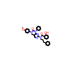 COc1ccc(N2Cc3cnc(N(CCCc4ccccc4)C(=O)c4ccccc4O)nc3N(c3ccccc3)C2=O)cc1